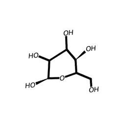 OCC1O[C@@H](O)C(O)C(O)[C@H]1O